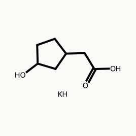 O=C(O)CC1CCC(O)C1.[KH]